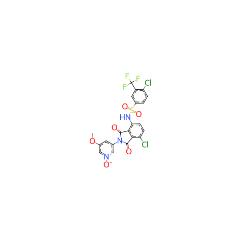 COc1cc(N2C(=O)c3c(Cl)ccc(NS(=O)(=O)c4ccc(Cl)c(C(F)(F)F)c4)c3C2=O)c[n+]([O-])c1